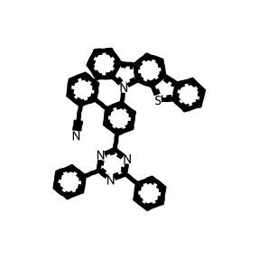 N#Cc1ccccc1-c1cc(-c2nc(-c3ccccc3)nc(-c3ccccc3)n2)ccc1-n1c2ccccc2c2ccc3c4ccccc4sc3c21